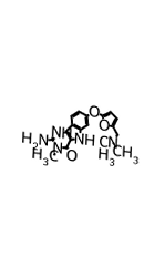 CN(C)Cc1ccc(Oc2ccc3cc(C(=O)N(C)C(=N)N)[nH]c3c2)o1